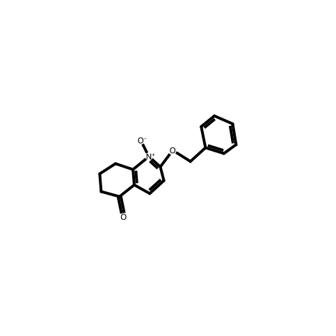 O=C1CCCc2c1ccc(OCc1ccccc1)[n+]2[O-]